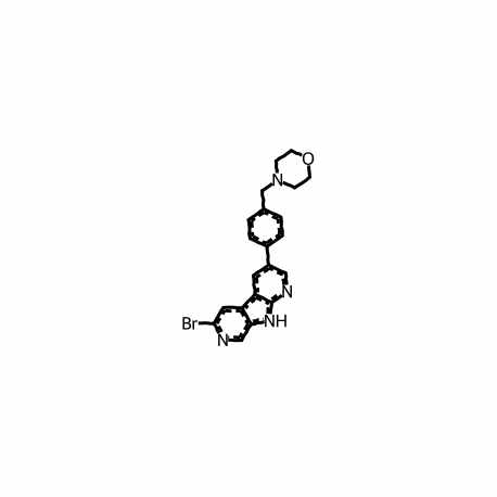 Brc1cc2c(cn1)[nH]c1ncc(-c3ccc(CN4CCOCC4)cc3)cc12